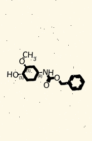 CO[C@H]1C[C@H](NC(=O)OCc2ccccc2)CC[C@@H]1O